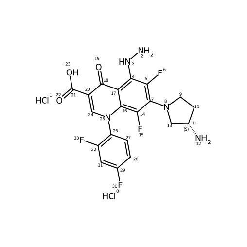 Cl.Cl.NNc1c(F)c(N2CC[C@H](N)C2)c(F)c2c1c(=O)c(C(=O)O)cn2-c1ccc(F)cc1F